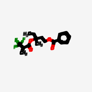 C=C(C(=O)OC(C)(CC)CCOC(=O)c1ccccc1)C(F)(F)F